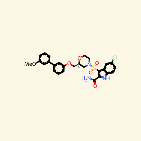 COc1cccc(-c2cccc(OC[C@@H]3CN(S(=O)(=O)c4c(C(N)=O)[nH]c5ccc(Cl)cc45)CCO3)c2)c1